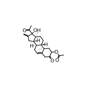 C=C1C[C@H]2[C@@H]3CC=C4CC(=O)C(OC(C)=O)C[C@]4(C)[C@H]3CC[C@]2(C)[C@@]1(O)C(C)=O